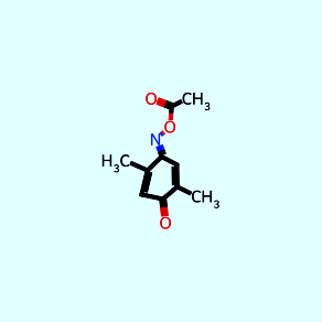 CC(=O)ON=C1C=C(C)C(=O)C=C1C